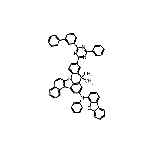 CC1(C)c2cc(-c3nc(-c4ccccc4)nc(-c4cccc(-c5ccccc5)c4)n3)ccc2-n2c3ccc4ccccc4c3c3cc(N(c4ccccc4)c4cccc5c4oc4ccccc45)cc1c32